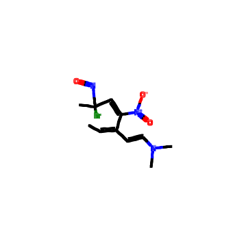 C/C=C(/C=C/N(C)C)C(=C/C(C)(Br)N=O)\[N+](=O)[O-]